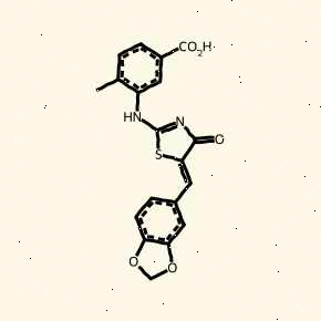 Cc1ccc(C(=O)O)cc1NC1=NC(=O)/C(=C/c2ccc3c(c2)OCO3)S1